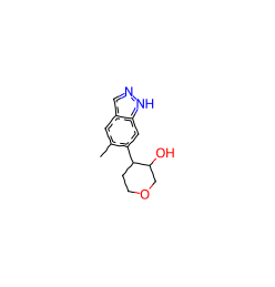 Cc1cc2cn[nH]c2cc1C1CCOCC1O